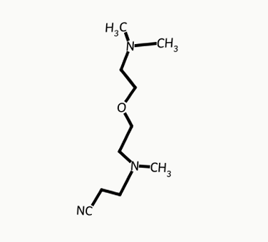 CN(C)CCOCCN(C)CCC#N